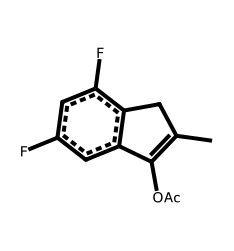 CC(=O)OC1=C(C)Cc2c(F)cc(F)cc21